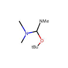 CNC(OC(C)(C)C)N(C)C